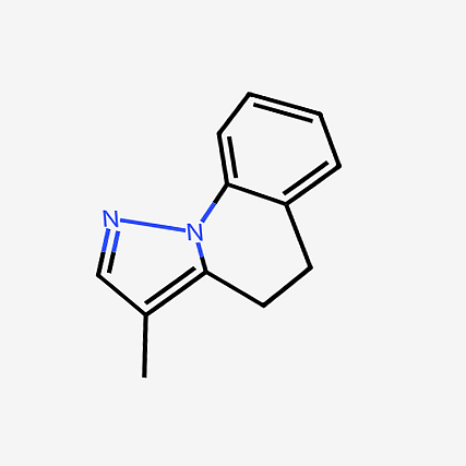 Cc1cnn2c1CCc1ccccc1-2